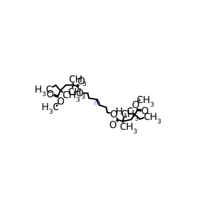 CCC(C)(CC(C)(C)C(=O)OCC/C=C/CCOC(=O)C(C)(C)CC(C)(CC)C(=O)OC)C(=O)OC